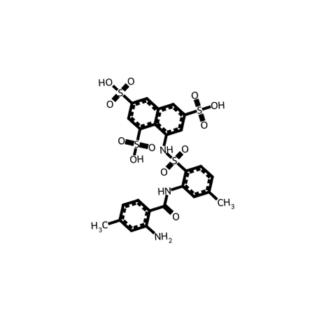 Cc1ccc(C(=O)Nc2cc(C)ccc2S(=O)(=O)Nc2cc(S(=O)(=O)O)cc3cc(S(=O)(=O)O)cc(S(=O)(=O)O)c23)c(N)c1